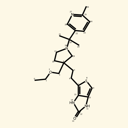 CCOCC1(CCc2scc3[nH]c(=O)[nH]c23)CCN(C(C)(C)c2ccc(C)nc2)C1